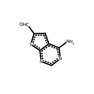 Nc1ncnc2sc(C=O)cc12